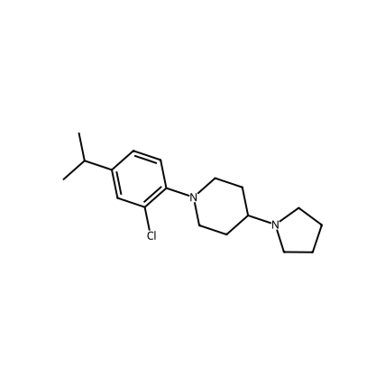 CC(C)c1ccc(N2CCC(N3CCCC3)CC2)c(Cl)c1